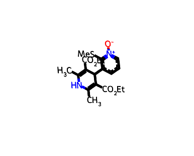 CCOC(=O)C1=C(C)NC(C)=C(C(=O)OCC)C1c1ccc[n+]([O-])c1SC